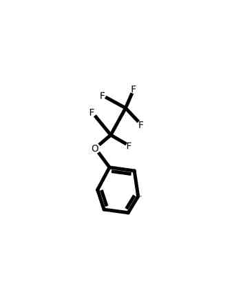 FC(F)(F)C(F)(F)Oc1c[c]ccc1